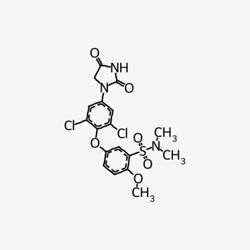 COc1ccc(Oc2c(Cl)cc(N3CC(=O)NC3=O)cc2Cl)cc1S(=O)(=O)N(C)C